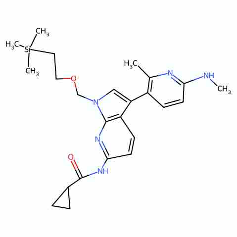 CNc1ccc(-c2cn(COCC[Si](C)(C)C)c3nc(NC(=O)C4CC4)ccc23)c(C)n1